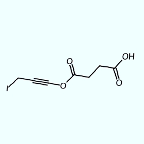 O=C(O)CCC(=O)OC#CCI